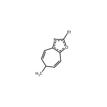 CCc1nc2c(o1)C=CC(C)C=C2